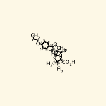 C=CCOc1ccc(C(=O)N[C@@]2(C)C(=O)N3[C@@H](C(=O)O)C(C)(C)S[C@@H]32)cc1